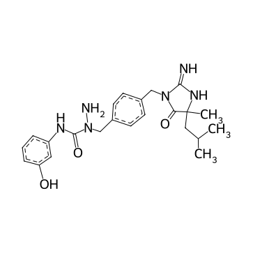 CC(C)CC1(C)NC(=N)N(Cc2ccc(CN(N)C(=O)Nc3cccc(O)c3)cc2)C1=O